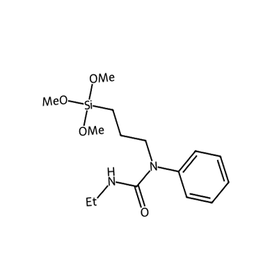 CCNC(=O)N(CCC[Si](OC)(OC)OC)c1ccccc1